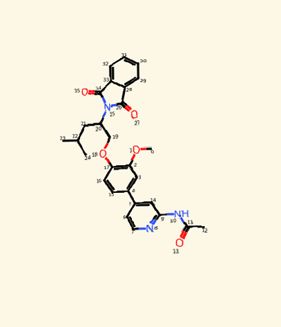 COc1cc(-c2ccnc(NC(C)=O)c2)ccc1OCC(CC(C)C)N1C(=O)c2ccccc2C1=O